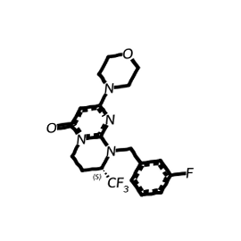 O=c1cc(N2CCOCC2)nc2n1CC[C@@H](C(F)(F)F)N2Cc1cccc(F)c1